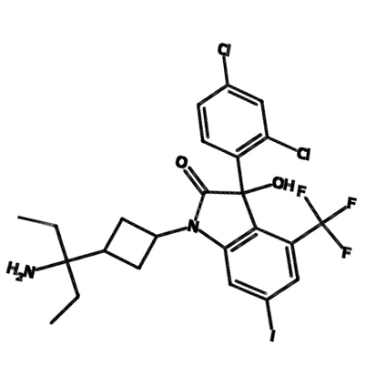 CCC(N)(CC)C1CC(N2C(=O)C(O)(c3ccc(Cl)cc3Cl)c3c2cc(I)cc3C(F)(F)F)C1